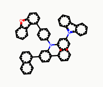 c1ccc(-c2ccc(-c3cccc4ccccc34)cc2N(c2ccc(-c3cccc4oc5ccccc5c34)cc2)c2cccc(-n3c4ccccc4c4ccccc43)c2)cc1